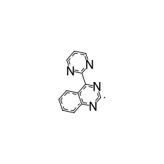 [c]1nc(-c2ncccn2)c2ccccc2n1